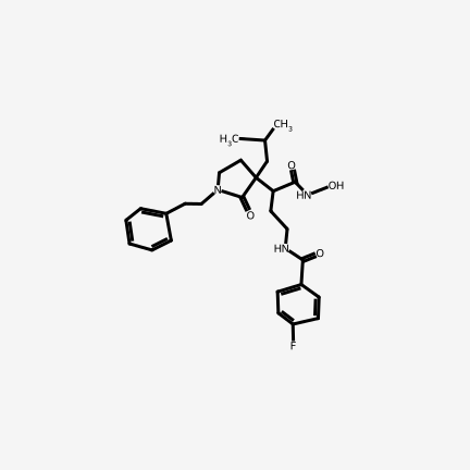 CC(C)CC1(C(CCNC(=O)c2ccc(F)cc2)C(=O)NO)CCN(CCc2ccccc2)C1=O